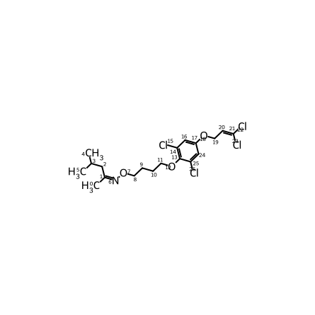 CC(CC(C)C)=NOCCCCOc1c(Cl)cc(OCC=C(Cl)Cl)cc1Cl